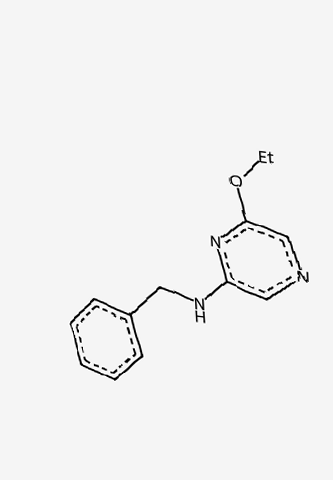 CCOc1cncc(NCc2ccccc2)n1